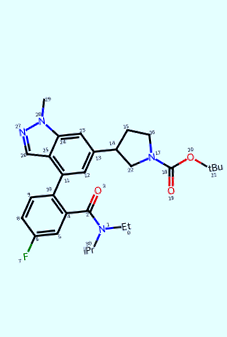 CCN(C(=O)c1cc(F)ccc1-c1cc(C2CCN(C(=O)OC(C)(C)C)C2)cc2c1cnn2C)C(C)C